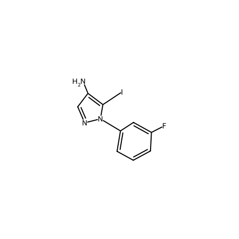 Nc1cnn(-c2cccc(F)c2)c1I